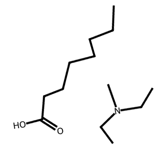 CCCCCCCC(=O)O.CCN(C)CC